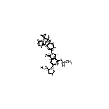 CNCc1nc(N2CCCC2C)cc2c1CN(c1cccc(-c3nncn3C3(C(F)(F)F)CC3)n1)C2=O